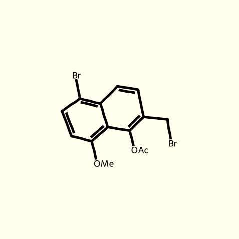 COc1ccc(Br)c2ccc(CBr)c(OC(C)=O)c12